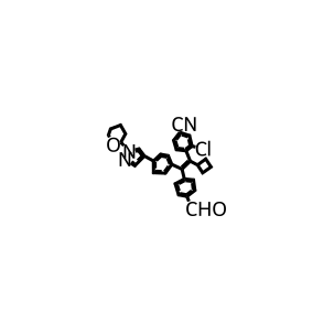 N#Cc1ccc(C(=C(c2ccc(C=O)cc2)c2ccc(-c3cnn(C4CCCCO4)c3)cc2)C2CCC2)c(Cl)c1